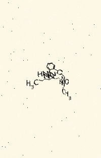 CCCCCCCCc1nn(CCC)c(=O)n1Cc1ccc(-c2ccccc2-c2nnn[nH]2)cc1